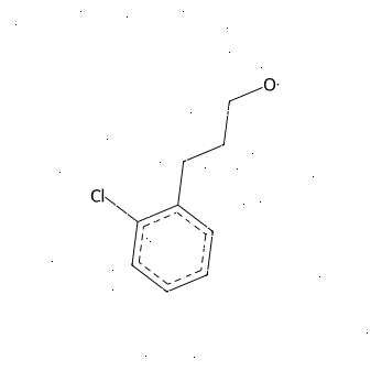 [O]CCCc1ccccc1Cl